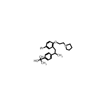 CC(C)c1ccc(OCCN2CCCC2)c(CC(C)c2ccc(C(C)(C)O)cc2)c1